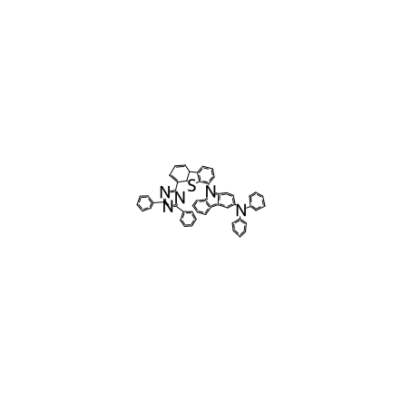 C1=CC2c3cccc(-n4c5ccccc5c5cc(N(c6ccccc6)c6ccccc6)ccc54)c3SC2C(c2nc(-c3ccccc3)nc(-c3ccccc3)n2)=C1